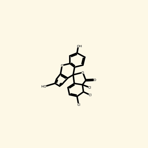 O=C1OC2(C3=CC=C(Cl)C(Cl)C13Cl)c1ccc(O)cc1Oc1cc(O)ccc12